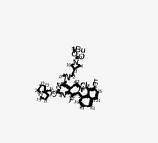 CN(CC1CN(C(=O)OC(C)(C)C)C1)c1nc(OCC23CCCN2CCC3)nc2c(F)c(-c3cccc4ccc(F)c(Cl)c34)ncc12